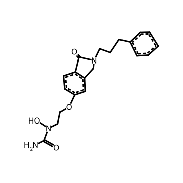 NC(=O)N(O)CCOc1ccc2c(c1)CN(CCCc1ccccc1)C2=O